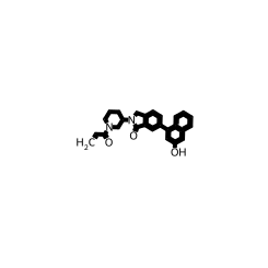 C=CC(=O)N1CCCC(N2Cc3ccc(-c4cc(O)cc5ccccc45)cc3C2=O)C1